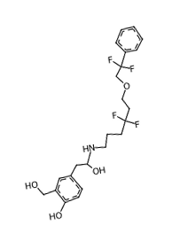 OCc1cc(CC(O)NCCCC(F)(F)CCOCC(F)(F)c2ccccc2)ccc1O